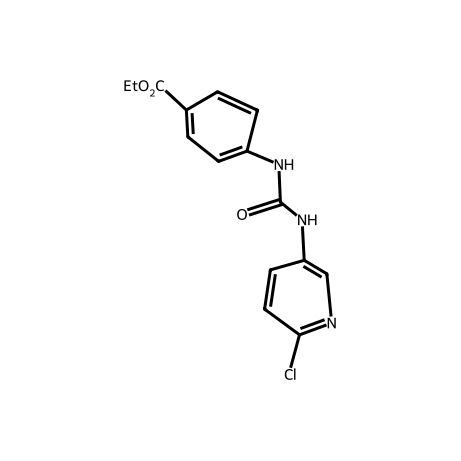 CCOC(=O)c1ccc(NC(=O)Nc2ccc(Cl)nc2)cc1